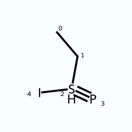 CC[SH](#P)I